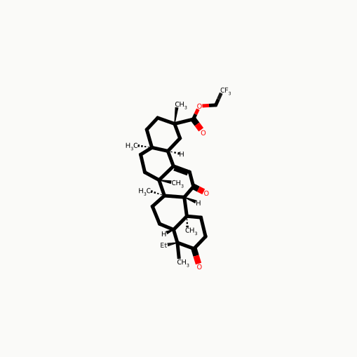 CC[C@]1(C)C(=O)CC[C@@]2(C)[C@H]1CC[C@]1(C)[C@@H]2C(=O)C=C2[C@@H]3C[C@@](C)(C(=O)OCC(F)(F)F)CC[C@]3(C)CC[C@]21C